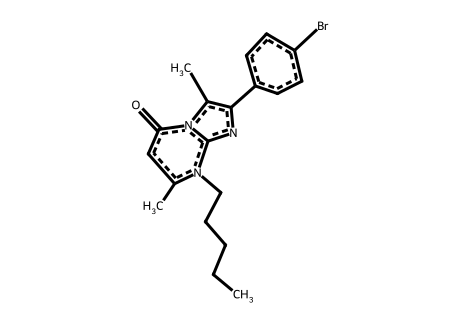 CCCCCn1c(C)cc(=O)n2c(C)c(-c3ccc(Br)cc3)nc12